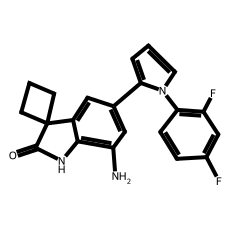 Nc1cc(-c2cccn2-c2ccc(F)cc2F)cc2c1NC(=O)C21CCC1